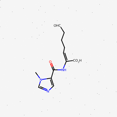 Cn1cncc1C(=O)NC(=CCCCC=O)C(=O)O